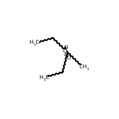 CCCCCCCC/C=C\CCCCCCCC(=O)OCC(CCCCCCCCCC)OC(=O)CCCCCCC/C=C\CCCCCCCC